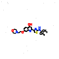 CC(C)Nc1nc(-c2cc(O)c3ccc(OCCN4CCOCC4)cc3n2)cs1